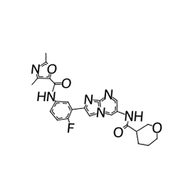 Cc1nc(C)c(C(=O)Nc2ccc(F)c(-c3cn4cc(NC(=O)C5CCCOC5)cnc4n3)c2)o1